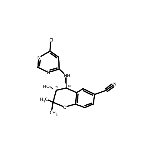 CC1(C)Oc2ccc(C#N)cc2[C@H](Nc2cc(Cl)ncn2)[C@H]1O